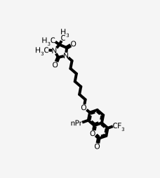 CCCc1c(OCCCCCCCN2C(=O)N(C)C(C)(C)C2=O)ccc2c(C(F)(F)F)cc(=O)oc12